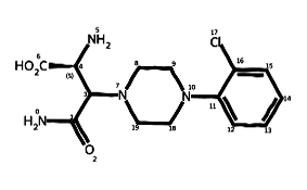 NC(=O)C([C@H](N)C(=O)O)N1CCN(c2ccccc2Cl)CC1